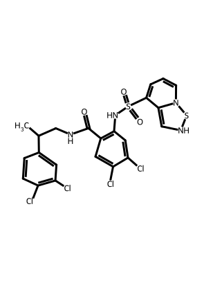 CC(CNC(=O)c1cc(Cl)c(Cl)cc1NS(=O)(=O)C1=CC=CN2SNC=C12)c1ccc(Cl)c(Cl)c1